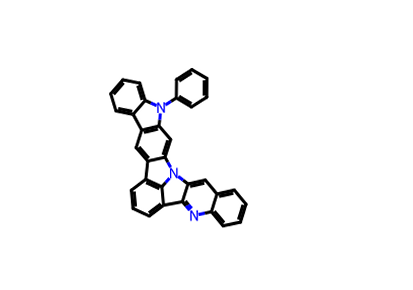 c1ccc(-n2c3ccccc3c3cc4c5cccc6c7nc8ccccc8cc7n(c4cc32)c56)cc1